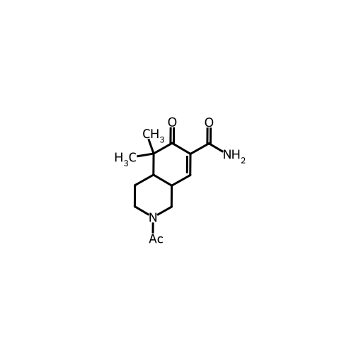 CC(=O)N1CCC2C(C=C(C(N)=O)C(=O)C2(C)C)C1